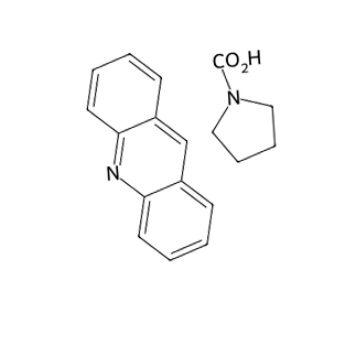 O=C(O)N1CCCC1.c1ccc2nc3ccccc3cc2c1